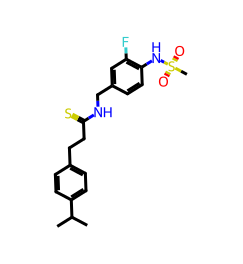 CC(C)c1ccc(CCC(=S)NCc2ccc(NS(C)(=O)=O)c(F)c2)cc1